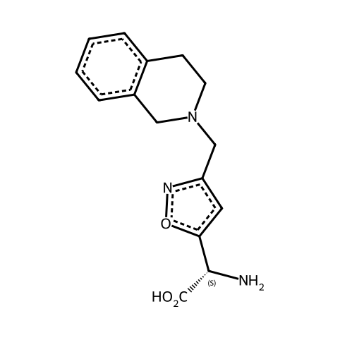 N[C@H](C(=O)O)c1cc(CN2CCc3ccccc3C2)no1